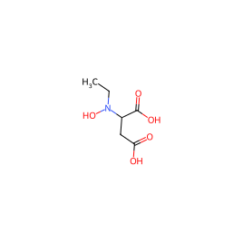 CCN(O)C(CC(=O)O)C(=O)O